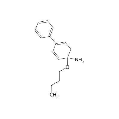 CCCCOC1(N)C=CC(c2ccccc2)=CC1